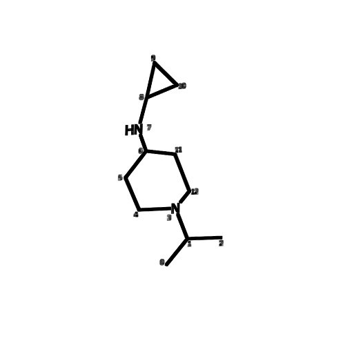 CC(C)N1CCC(NC2CC2)CC1